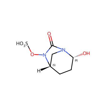 O=C1N2C[C@H](CC[C@H]2O)N1OS(=O)(=O)O